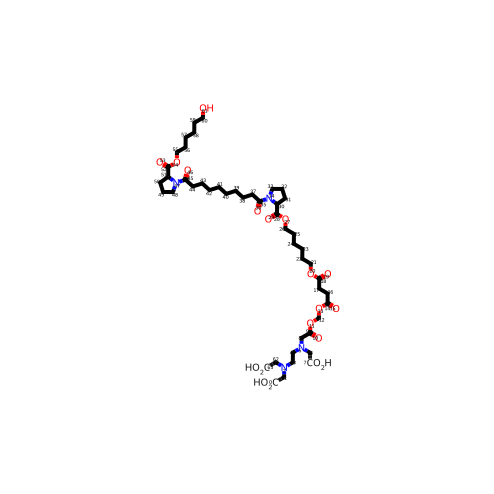 O=C(O)CN(CCN(CC(=O)O)CC(=O)OCOC(=O)CCC(=O)OCCCCCCOC(=O)C1CCCN1C(=O)CCCCCCCCC(=O)N1CCCC1C(=O)OCCCCCCO)CC(=O)O